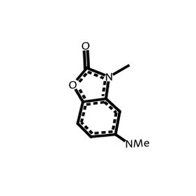 CNc1ccc2oc(=O)n(C)c2c1